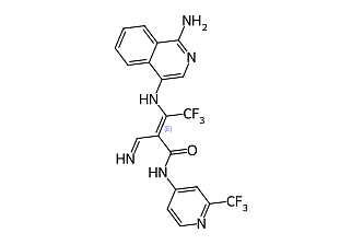 N=C/C(C(=O)Nc1ccnc(C(F)(F)F)c1)=C(\Nc1cnc(N)c2ccccc12)C(F)(F)F